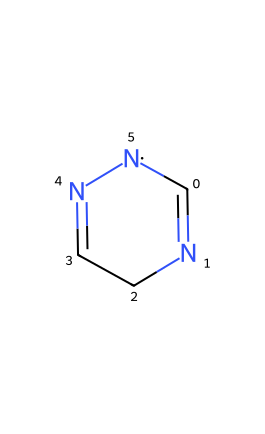 C1=NCC=N[N]1